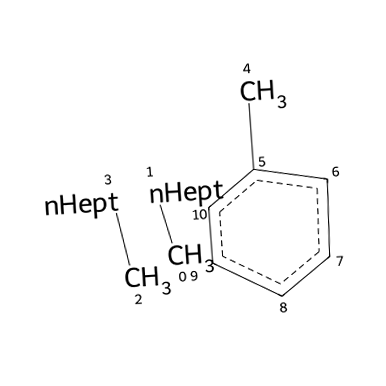 CCCCCCCC.CCCCCCCC.Cc1ccccc1